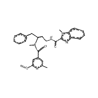 COc1cc(C(=O)N(C)C(CCNC(=O)c2nc3ccccc3n2C)Cc2ccccc2)cc(C)n1